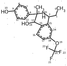 CCC1NC(C)(c2ccc(O)cc2)C(O)c2ccc(OC(F)(F)F)cc21